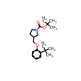 CC(C)(C)OC(=O)N1CCC(COc2ccccc2C(C)(C)C)C1